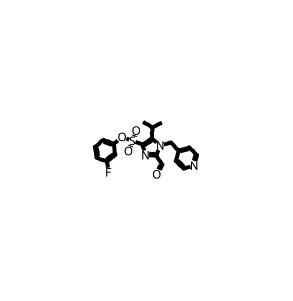 CC(C)c1c(S(=O)(=O)Oc2cccc(F)c2)nc(C=O)n1Cc1ccncc1